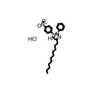 CCCCCCCCCCCC1=NN(c2ccccc2)N(c2ccc([N+](=O)[O-])cc2)N1.Cl